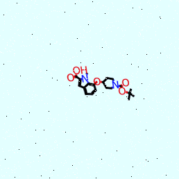 Cn1c(C(=O)O)cc2cccc(OC3CCN(C(=O)OC(C)(C)C)CC3)c21